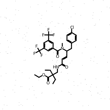 CCOC(=O)C(CC)(CC)CNC(=O)C=CC(Cc1ccc(Cl)cc1)N(C)C(=O)c1cc(C(F)(F)F)cc(C(F)(F)F)c1